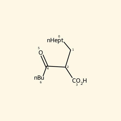 CCCCCCCCC(C(=O)O)C(=O)CCCC